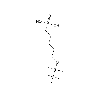 CC(C)(C)[Si](C)(C)OCCCCCP(=O)(O)O